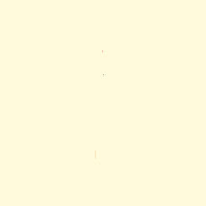 Cc1ccc(C(=O)CC2CC2)cc1P